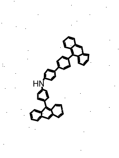 c1ccc2c(-c3ccc(Nc4ccc(-c5ccc(-c6c7ccccc7cc7ccccc67)cc5)cc4)cc3)c3ccccc3cc2c1